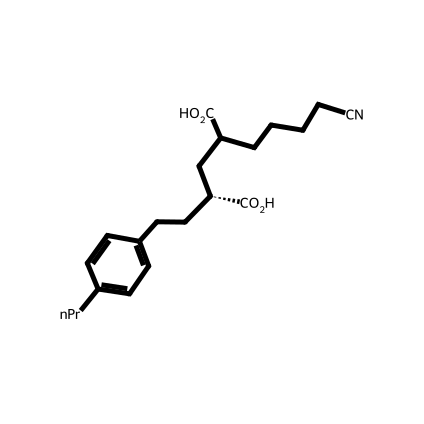 CCCc1ccc(CC[C@H](CC(CCCCC#N)C(=O)O)C(=O)O)cc1